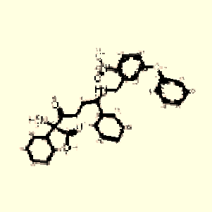 NC(C(=O)O)(C(=O)CCC(NCc1cc(Oc2ccccc2)ccc1[N+](=O)[O-])C1CCCCC1)C1CCCCC1